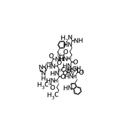 CCCC[C@H](NC(C)=O)C(=O)N[C@@H](C)C(=O)N[C@@H](Cc1c[nH]cn1)C(=O)N[C@@H](Cc1ccccc1)C(=O)N[C@@H](CCCNC(=N)N)C(=O)N[C@@H](C)C(=O)N[C@@H](Cc1c[nH]c2ccccc12)C(N)=O